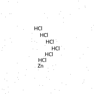 Cl.Cl.Cl.Cl.Cl.Cl.[Zn]